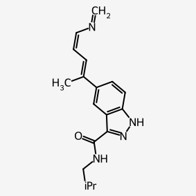 C=N/C=C\C=C(/C)c1ccc2[nH]nc(C(=O)NCC(C)C)c2c1